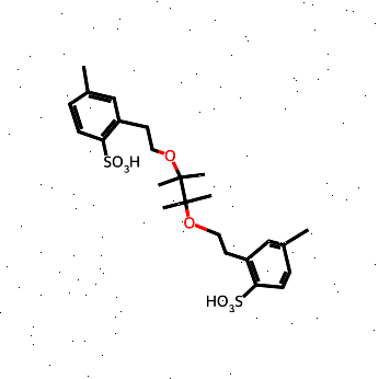 Cc1ccc(S(=O)(=O)O)c(CCOC(C)(C)C(C)(C)OCCc2cc(C)ccc2S(=O)(=O)O)c1